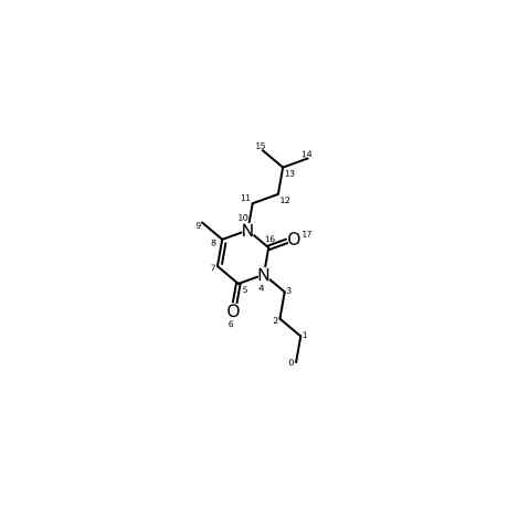 CCCCn1c(=O)cc(C)n(CCC(C)C)c1=O